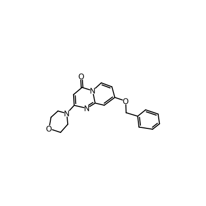 O=c1cc(N2CCOCC2)nc2cc(OCc3ccccc3)ccn12